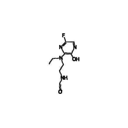 CCN(CCNC=O)c1nc(F)cnc1O